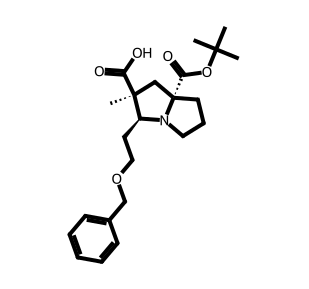 CC(C)(C)OC(=O)[C@]12CCCN1[C@@H](CCOCc1ccccc1)[C@@](C)(C(=O)O)C2